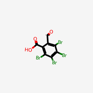 O=[C]c1c(Br)c(Br)c(Br)c(Br)c1C(=O)O